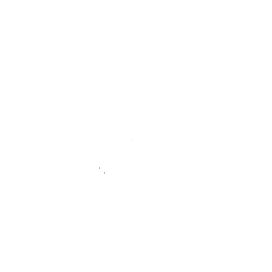 C=C(C(=O)O)C(C)C.N